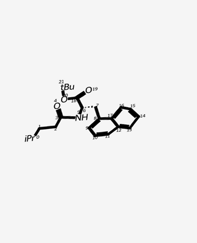 CC(C)CCC(=O)N[C@@H](Cc1cccc2ccccc12)C(=O)OC(C)(C)C